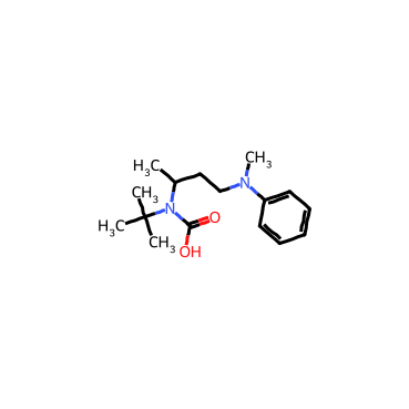 CC(CCN(C)c1ccccc1)N(C(=O)O)C(C)(C)C